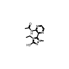 CCn1c(S)n[n+](C)c1-c1nccnc1NC(C)=O